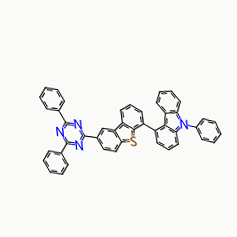 c1ccc(-c2nc(-c3ccccc3)nc(-c3ccc4sc5c(-c6cccc7c6c6ccccc6n7-c6ccccc6)cccc5c4c3)n2)cc1